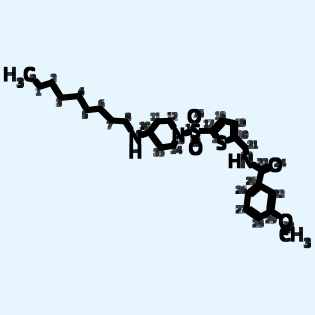 CCCCCCCCCNC1CCN(S(=O)(=O)c2ccc(CNC(=O)c3cccc(OC)c3)s2)CC1